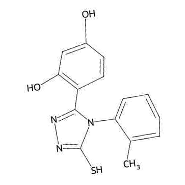 Cc1ccccc1-n1c(S)nnc1-c1ccc(O)cc1O